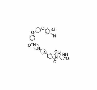 N#Cc1ccc(O[C@H]2CC[C@H](Oc3ccc(C(=O)N4CCN(C5CCN(c6ccc7c(c6)C(=O)N(C6CCC(=O)NC6=O)C7=O)CC5)CC4)cc3)CC2)cc1Cl